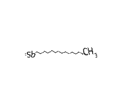 CCCCCCCCCCCCCC[CH2][Sb]